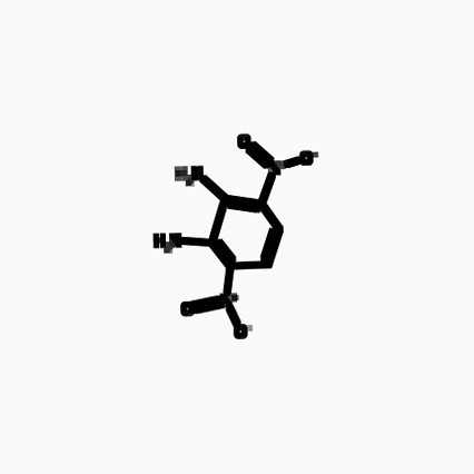 Nc1c([N+](=O)[O-])ccc([N+](=O)[O-])c1N